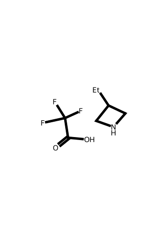 CCC1CNC1.O=C(O)C(F)(F)F